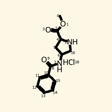 COC(=O)C1CC(NC(=O)c2ccccc2)CN1.Cl